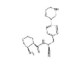 N#C[C@H](Cc1ccc(C2CNCCO2)cc1)NC(=O)[C@@H]1CCCC[C@@H]1N